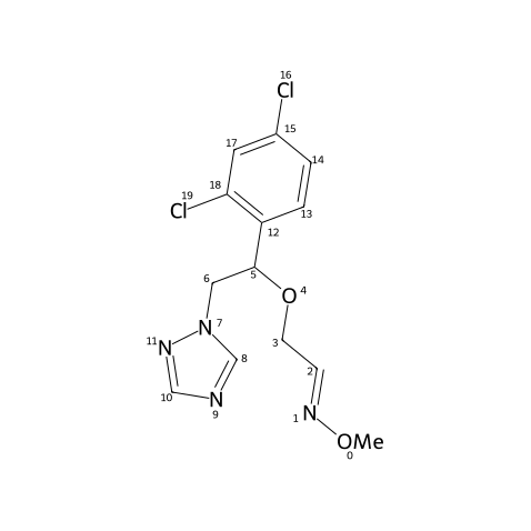 CON=CCOC(Cn1cncn1)c1ccc(Cl)cc1Cl